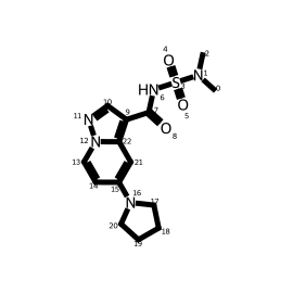 CN(C)S(=O)(=O)NC(=O)c1cnn2ccc(N3CCCC3)cc12